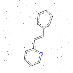 [c]1ccccc1C=Cc1ccccn1